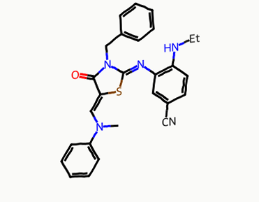 CCNc1ccc(C#N)cc1/N=C1\SC(=CN(C)c2ccccc2)C(=O)N1Cc1ccccc1